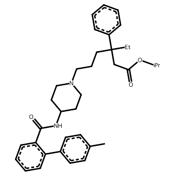 CCC(CCCN1CCC(NC(=O)c2ccccc2-c2ccc(C)cc2)CC1)(CC(=O)OC(C)C)c1ccccc1